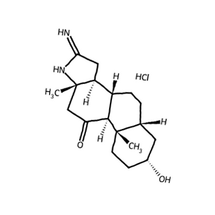 C[C@]12CC[C@@H](O)C[C@H]1CC[C@@H]1[C@@H]2C(=O)C[C@]2(C)NC(=N)C[C@@H]12.Cl